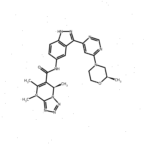 CC1=C(C(=O)Nc2ccc3[nH]nc(-c4cc(N5CCO[C@H](C)C5)ncn4)c3c2)[C@@H](C)n2nnnc2N1C